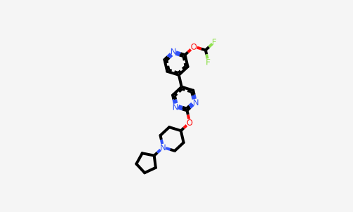 FC(F)Oc1cc(-c2cnc(OC3CCN(C4CCCC4)CC3)nc2)ccn1